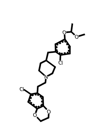 COC(C)Oc1ccc(Cl)c(CC2CCN(CCc3cc4c(cc3Cl)OCCO4)CC2)c1